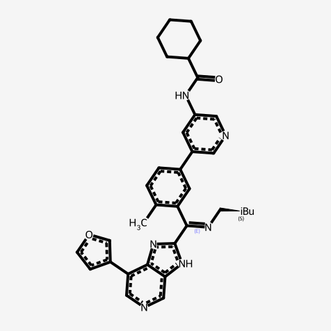 CC[C@H](C)C/N=C(/c1nc2c(-c3ccoc3)cncc2[nH]1)c1cc(-c2cncc(NC(=O)C3CCCCC3)c2)ccc1C